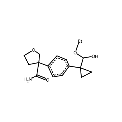 CCOC(O)C1(c2ccc(C3(C(N)=O)CCOC3)cc2)CC1